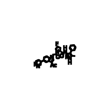 CC(=O)c1cn(CC(=O)N2C[C@H](F)C[C@H]2C(=O)Nc2n[nH]c(C)c2-c2ccccc2)c2ccc(-c3ccnnc3)cc12